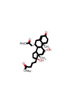 COC(=O)CCC[C@]1(O)CCC2C3C([C@H](O)C[C@@]21C)[C@@]1(C)CCC(=O)C=C1C[C@H]3CC(=O)OC